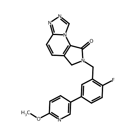 COc1ccc(-c2ccc(F)c(CN3Cc4ccc5nncn5c4C3=O)c2)cn1